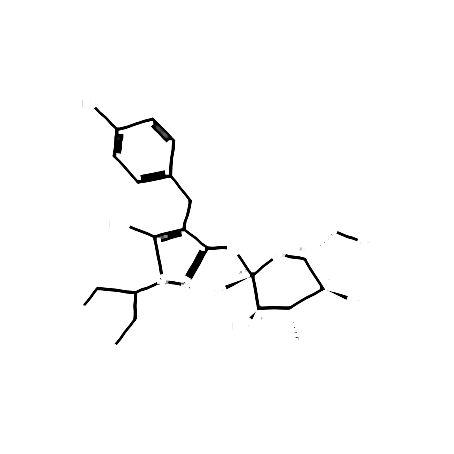 CCc1ccc(Cc2c(O[C@]3(O)O[C@H](CO)[C@@H](O)[C@H](O)[C@H]3O)nn(C(CF)CF)c2C(F)(F)F)cc1